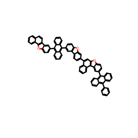 c1ccc(-c2c3ccccc3c(-c3ccc4oc5cc(-c6ccc7c(c6)oc6ccc(-c8c9ccccc9c(-c9ccc%10oc%11c%12ccccc%12ccc%11c%10c9)c9ccccc89)cc67)c6ccccc6c5c4c3)c3ccccc23)cc1